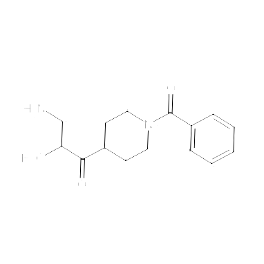 CC(CN)C(=O)C1CCN(C(=O)c2ccccc2)CC1